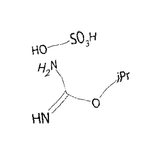 CC(C)OC(=N)N.O=S(=O)(O)O